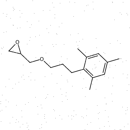 [CH2]c1cc(C)c(CCCOCC2CO2)c(C)c1